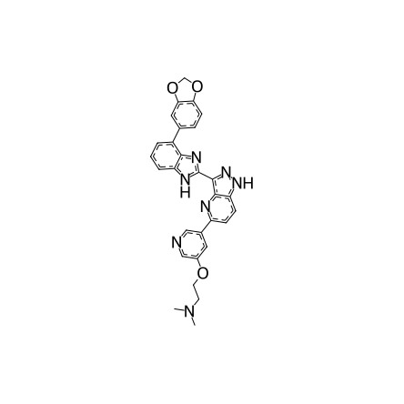 CN(C)CCOc1cncc(-c2ccc3[nH]nc(-c4nc5c(-c6ccc7c(c6)OCO7)cccc5[nH]4)c3n2)c1